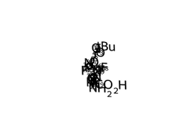 CC(C)(C)OC(=O)CCCOc1ncc(F)cc1[C@H]1C[C@H](F)CN1c1ccn2nc(N)c(C(=O)O)c2n1